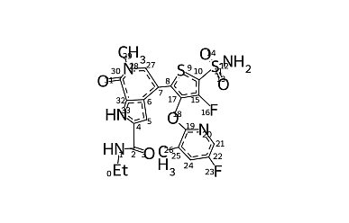 CCNC(=O)c1cc2c(-c3sc(S(N)(=O)=O)c(F)c3Oc3ncc(F)cc3C)cn(C)c(=O)c2[nH]1